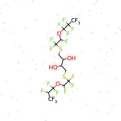 OC(CSC(F)(F)C(F)OC(F)(F)C(F)C(F)(F)F)C(O)CSC(F)(F)C(F)OC(F)(F)C(F)(F)C(F)(F)F